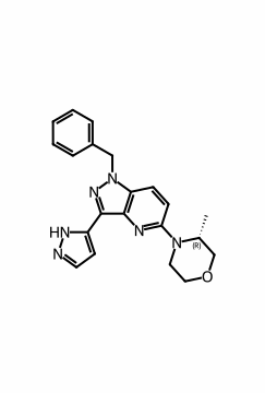 C[C@@H]1COCCN1c1ccc2c(n1)c(-c1ccn[nH]1)nn2Cc1ccccc1